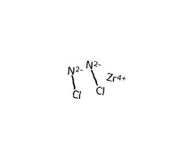 [N-2]Cl.[N-2]Cl.[Zr+4]